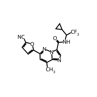 Cc1cc(-c2ccc(C#N)o2)nn2c(C(=O)NC(C3CC3)C(F)(F)F)cnc12